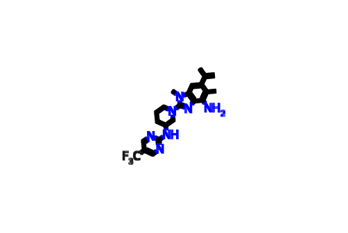 C=C(C)c1cc2c(nc(N3CCCC(Nc4ncc(C(F)(F)F)cn4)C3)n2C)c(N)c1C